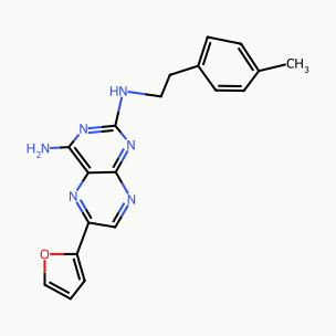 Cc1ccc(CCNc2nc(N)c3nc(-c4ccco4)cnc3n2)cc1